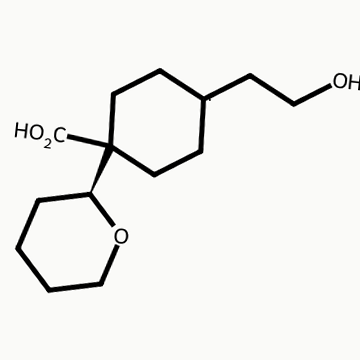 O=C(O)C1([C@@H]2CCCCO2)CC[C](CCO)CC1